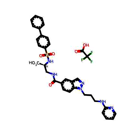 O=C(NC[C@H](NS(=O)(=O)c1ccc(-c2ccccc2)cc1)C(=O)O)c1ccc2c(cnn2CCCNc2ccccn2)c1.O=C(O)C(F)(F)F